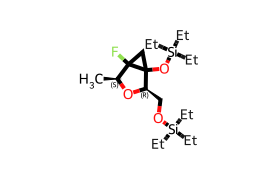 CC[Si](CC)(CC)OC[C@H]1O[C@@H](C)C2(F)CC12O[Si](CC)(CC)CC